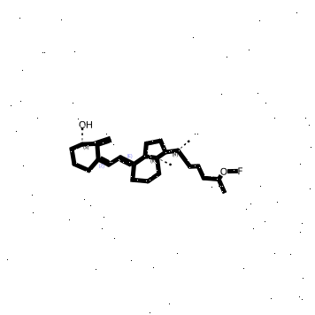 C=C1/C(=C\C=C2/CCC[C@@]3(C)C2CCC3[C@H](C)CCCC(C)OF)CCC[C@@H]1O